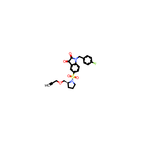 C#CCOC[C@@H]1CCCN1S(=O)(=O)c1ccc2c(c1)C(=O)C(=O)N2Cc1ccc(F)cc1